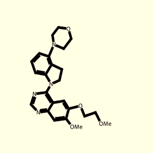 COCCOc1cc2c(N3CCc4c(N5CCOCC5)cccc43)ncnc2cc1OC